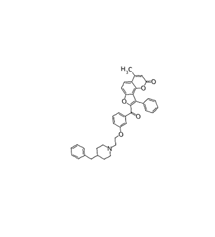 Cc1cc(=O)oc2c1ccc1oc(C(=O)c3cccc(OCCN4CCC(Cc5ccccc5)CC4)c3)c(-c3ccccc3)c12